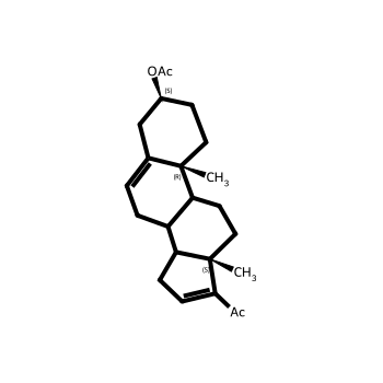 CC(=O)O[C@H]1CC[C@@]2(C)C(=CCC3C2CC[C@]2(C)C(C(C)=O)=CCC32)C1